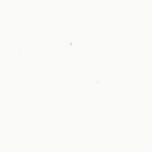 Brc1ccc(Nc2ccc(N(c3ccccc3)c3ccccc3)cc2)cc1